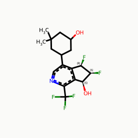 CC1(C)CC(O)CC(c2cnc(C(F)(F)F)c3c2[C@@H](F)[C@@H](F)[C@H]3O)C1